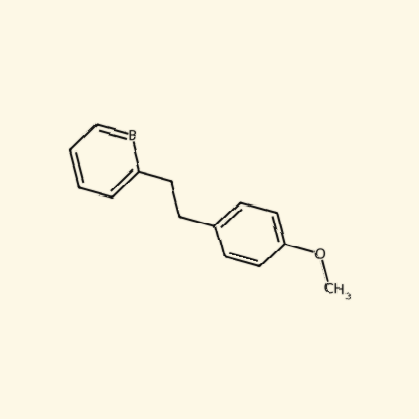 COc1ccc(CCc2bcccc2)cc1